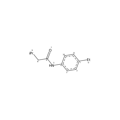 CCc1ccc(NC(=O)CC(C)C)cc1